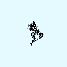 N#Cc1c(N)sc2c(F)ccc(-c3c(Cl)cc4c(N5CCCCC6(CN(C(=O)C7CC(C#N)C7)C6)C5)nc(OC[C@@]56CCCN5C[C@H](F)C6)nc4c3F)c12